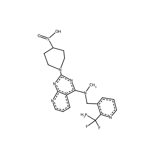 CN(Cc1cccnc1C(F)(F)P)c1nc(N2CCC(S(=O)O)CC2)nc2ncccc12